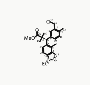 CCn1nnc2c(C)c([C@H](c3ccc(C)c(CCl)c3)C(C)(C)C(=O)OC)ccc21